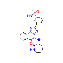 CS(=N)(=O)c1cccc(-c2nc3c4ccccc4nc(N[C@@H]4CCCCNC4=O)n3n2)c1